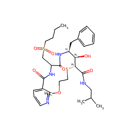 CCCCS(=O)(=O)CC(NC(=O)c1cccnc1)C(=O)N[C@@H](Cc1ccccc1)[C@@H](O)[C@@H](SCCOC)C(=O)NCC(C)C